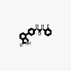 O=C(Nc1ccc(-c2cccc3c2CNC3=O)cc1)Nc1ccccc1F